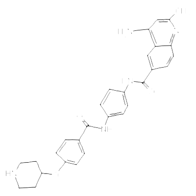 Cc1cc(N)c2cc(C(=O)Nc3ccc(NC(=O)c4ccc(OC5CCNCC5)cc4)cc3)ccc2n1